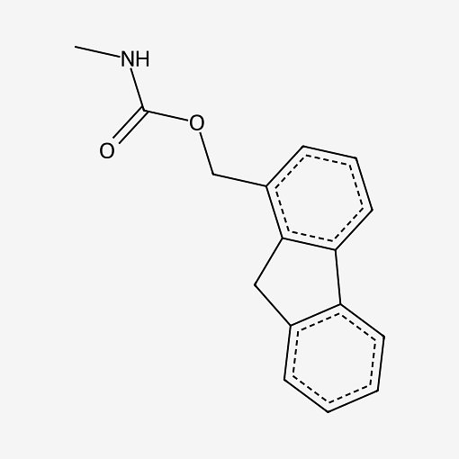 CNC(=O)OCc1cccc2c1Cc1ccccc1-2